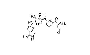 CN(CC=O)C(=O)c1cccc(N2CCO[C@H]([C@@H](O)C(=O)Nc3ccc4c(c3)CNC4=N)C2=O)c1